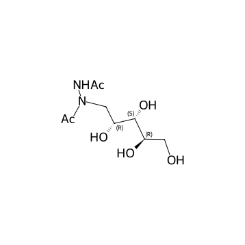 CC(=O)NN(C[C@@H](O)[C@H](O)[C@H](O)CO)C(C)=O